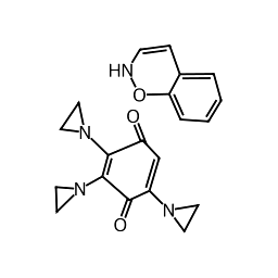 C1=Cc2ccccc2ON1.O=C1C=C(N2CC2)C(=O)C(N2CC2)=C1N1CC1